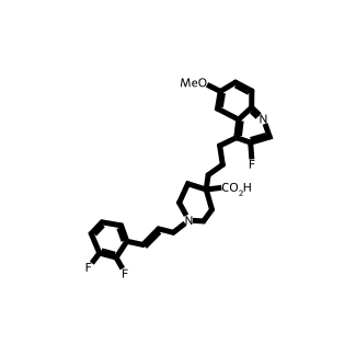 COc1ccc2ncc(F)c(CCCC3(C(=O)O)CCN(C/C=C/c4cccc(F)c4F)CC3)c2c1